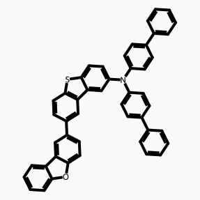 c1ccc(-c2ccc(N(c3ccc(-c4ccccc4)cc3)c3ccc4sc5ccc(-c6ccc7oc8ccccc8c7c6)cc5c4c3)cc2)cc1